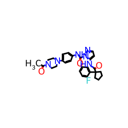 CC(=O)N1CCN(c2ccc(NC(=O)n3nccc3NC(=O)C3(c4ccccc4F)CCCC3)cc2)CC1